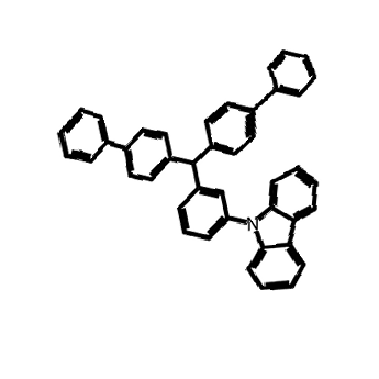 c1ccc(-c2ccc(C(c3ccc(-c4ccccc4)cc3)c3cccc(-n4c5ccccc5c5ccccc54)c3)cc2)cc1